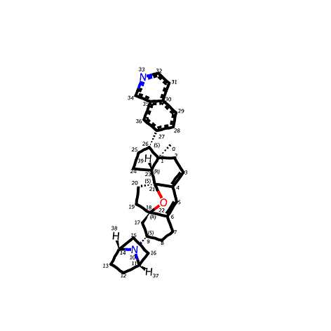 C[C@]12CC=C3C=C4CC[C@H](N5[C@H]6CC[C@@H]5CC6)C[C@]45CC[C@]3(O5)[C@@H]1CC[C@@H]2c1ccc2ccncc2c1